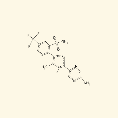 Cc1c(-c2ccc(C(F)(F)F)cc2S(N)(=O)=O)ccc(-c2cnc(N)cn2)c1F